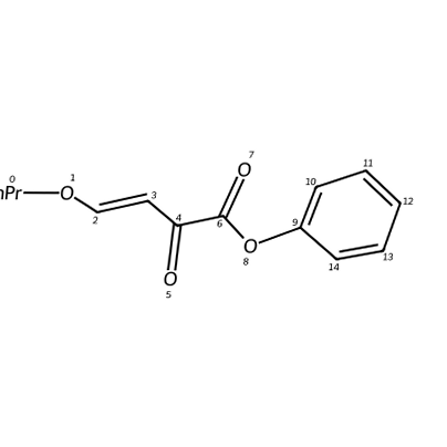 CCCOC=CC(=O)C(=O)Oc1ccccc1